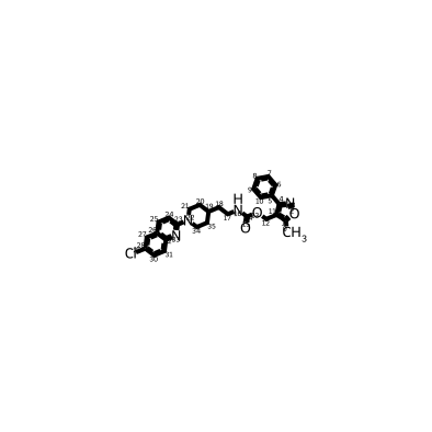 Cc1onc(-c2ccccc2)c1COC(=O)NCCC1CCN(c2ccc3cc(Cl)ccc3n2)CC1